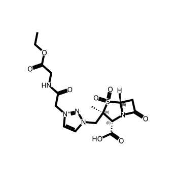 CCOC(=O)CNC(=O)C[n+]1ccn(C[C@]2(C)[C@@H](C(=O)O)N3C(=O)C[C@H]3S2(=O)=O)n1